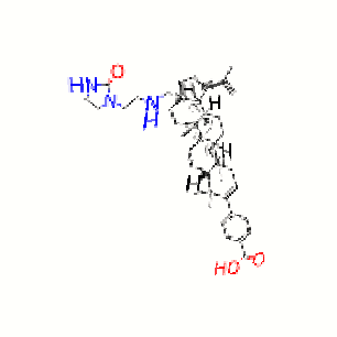 C=C(C)[C@@H]1CC[C@]2(CNCCN3CCNC3=O)CC[C@]3(C)[C@H](CC[C@@H]4[C@@]5(C)CC=C(c6ccc(C(=O)O)cc6)C(C)(C)[C@@H]5CC[C@]43C)[C@@H]12